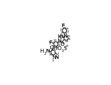 CS(=O)(=O)O.Cn1ncc2cc(Oc3ccc(NC(=O)c4cccn(-c5ccc(F)cc5)c4=O)cc3F)c(N)cc21